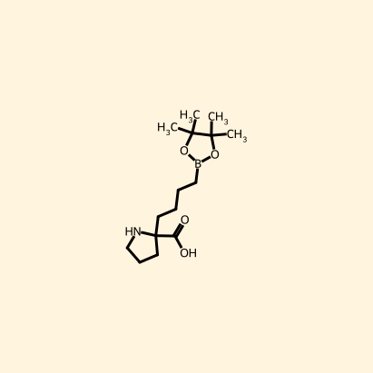 CC1(C)OB(CCCCC2(C(=O)O)CCCN2)OC1(C)C